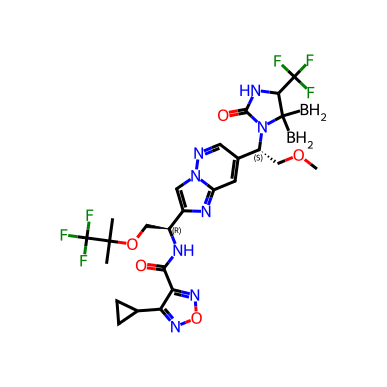 BC1(B)C(C(F)(F)F)NC(=O)N1[C@H](COC)c1cnn2cc([C@H](COC(C)(C)C(F)(F)F)NC(=O)c3nonc3C3CC3)nc2c1